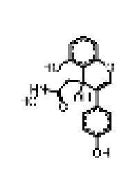 O=C(CC1(O)C(c2ccc(O)cc2)=COc2cccc(O)c21)NO